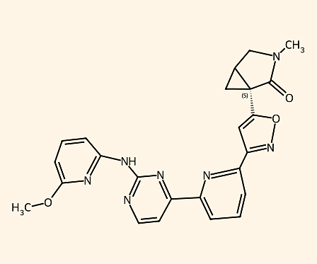 COc1cccc(Nc2nccc(-c3cccc(-c4cc([C@]56CC5CN(C)C6=O)on4)n3)n2)n1